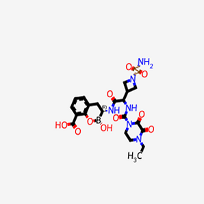 CCN1CCN(C(=O)NC(C(=O)N[C@H]2Cc3cccc(C(=O)O)c3OB2O)C2CN(S(N)(=O)=O)C2)C(=O)C1=O